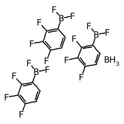 B.FB(F)c1ccc(F)c(F)c1F.FB(F)c1ccc(F)c(F)c1F.FB(F)c1ccc(F)c(F)c1F